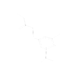 C=C(CC)COc1cc(C)nc(C(C)C)n1